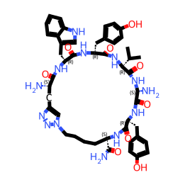 CC(C)[C@H]1NC(=O)[C@@H](Cc2ccc(O)cc2)NC(=O)[C@@H](Cc2c[nH]c3ccccc23)NC(=O)[C@@H](N)Cc2cn(nn2)CCCC[C@@H](C(N)=O)NC(=O)[C@@H](Cc2ccc(O)cc2)NC(=O)[C@@H](N)NC1=O